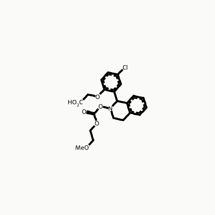 COCCOC(=O)ON1CCc2ccccc2C1c1cc(Cl)ccc1OCC(=O)O